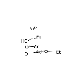 CC(=O)[O-].CC(=O)[O-].CCO.CCO.[Ni+2]